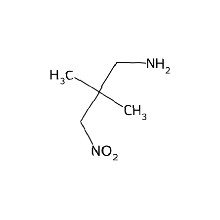 CC(C)(CN)C[N+](=O)[O-]